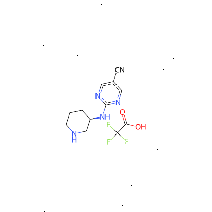 N#Cc1cnc(N[C@@H]2CCCNC2)nc1.O=C(O)C(F)(F)F